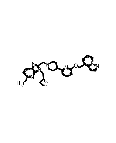 Cc1ccc2nc(CN3CCC(c4cccc(OCc5cccn6nccc56)n4)CC3)n(CC3CCO3)c2n1